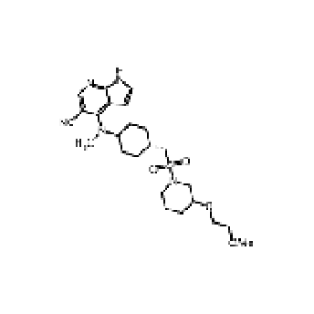 COCCOC1CCCN(S(=O)(=O)C[C@H]2CC[C@H](N(C)c3c(C#N)cnc4[nH]ccc34)CC2)C1